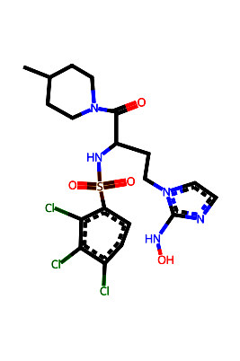 CC1CCN(C(=O)C(CCn2ccnc2NO)NS(=O)(=O)c2ccc(Cl)c(Cl)c2Cl)CC1